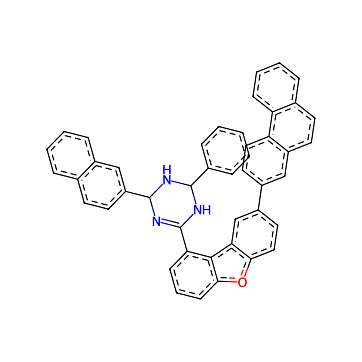 c1ccc(C2NC(c3cccc4oc5ccc(-c6ccc7c(ccc8ccccc87)c6)cc5c34)=NC(c3ccc4ccccc4c3)N2)cc1